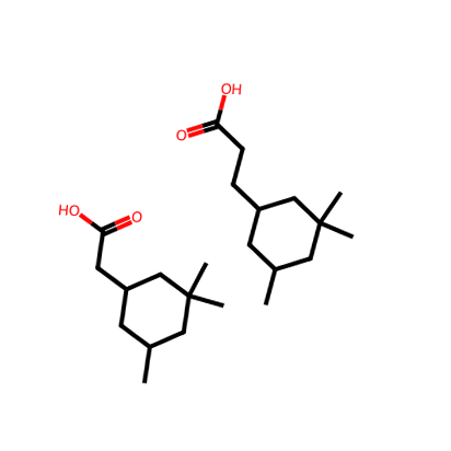 CC1CC(CC(=O)O)CC(C)(C)C1.CC1CC(CCC(=O)O)CC(C)(C)C1